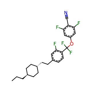 CCC[C@H]1CC[C@H](CCc2ccc(C(F)(F)Oc3cc(F)c(C#N)c(F)c3)c(F)c2)CC1